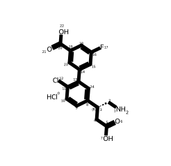 Cl.NC[C@H](CC(=O)O)c1ccc(Cl)c(-c2cc(F)cc(C(=O)O)c2)c1